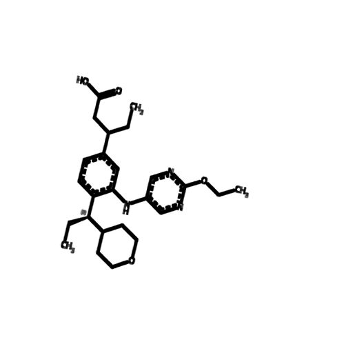 CCOc1ncc(Nc2cc(C(CC)CC(=O)O)ccc2[C@H](CC)C2CCOCC2)cn1